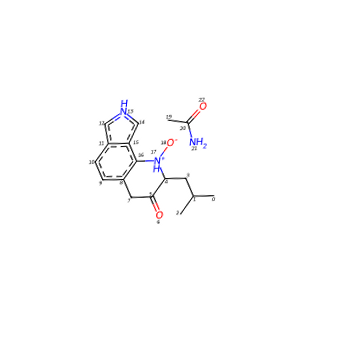 CC(C)CC1C(=O)Cc2ccc3c[nH]cc3c2[NH+]1[O-].CC(N)=O